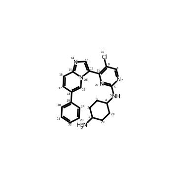 NC1CCC(Nc2ncc(Cl)c(-c3cnc4ccc(-c5ccccc5)cn34)n2)CC1